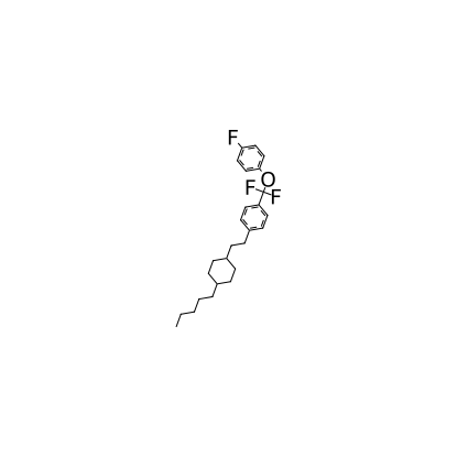 CCCCCC1CCC(CCc2ccc(C(F)(F)Oc3ccc(F)cc3)cc2)CC1